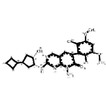 COc1cc(OC)c(Cl)c(-c2cc3cnc(N[C@@H]4CC(C5CCC5)C[C@@H]4C)nc3n(C)c2=O)c1Cl